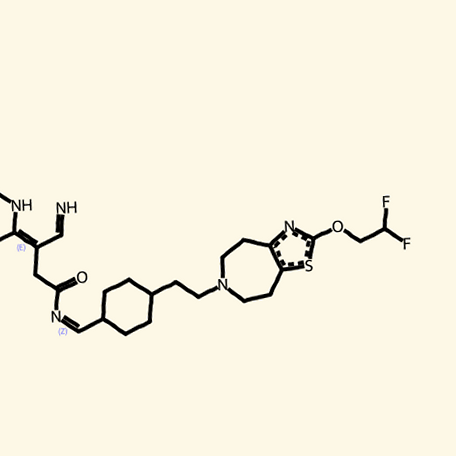 CN/C(F)=C(\C=N)CC(=O)/N=C\C1CCC(CCN2CCc3nc(OCC(F)F)sc3CC2)CC1